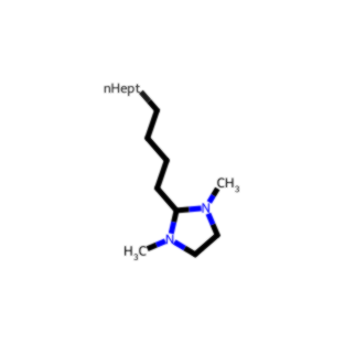 CCCCCCCCCCCC1N(C)CCN1C